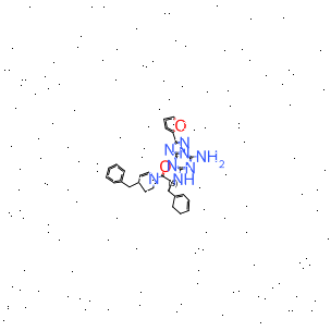 Nc1nc(N[C@@H](CC2=CC=CCC2)C(=O)N2C=CC(Cc3ccccc3)CC2)nc2nc(-c3ccco3)nn12